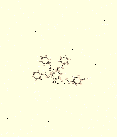 C[C@@H]1[C@@H](OCc2ccccc2)[C@H](OCc2ccccc2)[C@@H](OCc2ccccc2)CN1CCCc1ccc(F)cc1